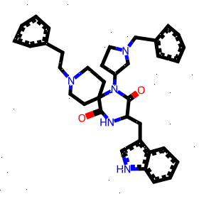 O=C1C(Cc2c[nH]c3ccccc23)NC(=O)C2(CCN(CCc3ccccc3)CC2)N1C1CCN(Cc2ccccc2)C1